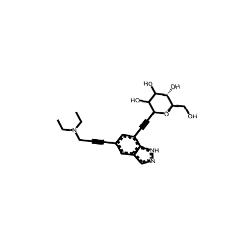 CCN(CC)CC#Cc1cc(C#CC2OC(CO)[C@@H](O)C(O)C2O)c2[nH]ncc2c1